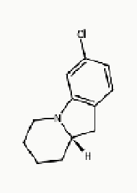 Clc1ccc2c(c1)N1CCCC[C@H]1C2